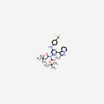 Cc1nn2ccccc2c1-c1nc(Nc2ccc(C(F)(F)F)cc2)cc(N(C(=O)CC(C)(C)C)C(=O)OC(C)(C)C)n1